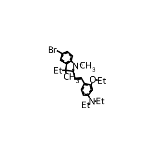 CCOc1cc(N(CC)CC)ccc1/C=C/C1=[N+](C)c2ccc(Br)cc2C1(C)CC